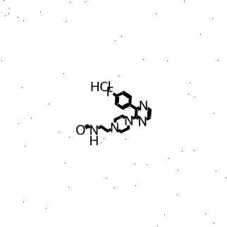 Cl.O=CNCCN1CCN(c2nccnc2-c2ccc(F)cc2)CC1